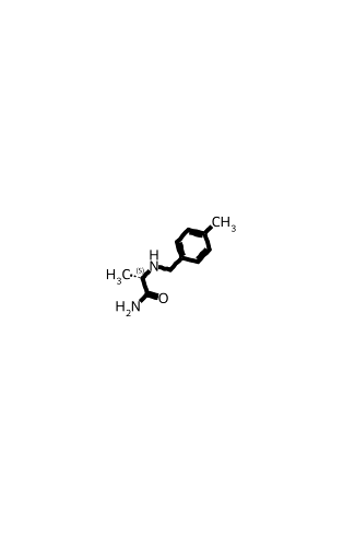 Cc1ccc(CN[C@@H](C)C(N)=O)cc1